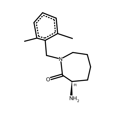 Cc1cccc(C)c1CN1CCCC[C@@H](N)C1=O